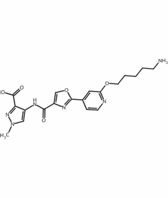 Cn1cc(NC(=O)c2coc(-c3ccnc(OCCCCCN)c3)n2)c(C(=O)O)n1